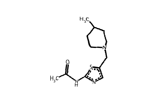 CC(=O)Nc1ncc(CN2CCC(C)CC2)s1